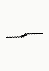 CCCCCCCCCCCCCCCCCCCC[n+]1ccc(-c2cc[n+](CCCCCCCCCCCCCCCCCCCC)cc2)cc1